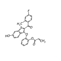 C=CC(=O)Oc1ccccc1Oc1c(C(=O)c2ccc(F)cc2C)sc2cc(O)ccc12